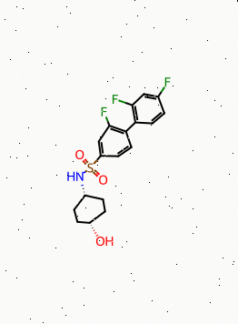 O=S(=O)(N[C@H]1CC[C@@H](O)CC1)c1ccc(-c2ccc(F)cc2F)c(F)c1